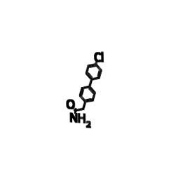 NC(=O)Cc1ccc(-c2ccc(Cl)cc2)cc1